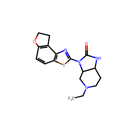 O=C1NC2CCN(CC(F)(F)F)CC2N1c1nc2c3c(ccc2s1)OCC3